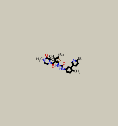 CCc1ccc(-c2cc(NC(=O)Nc3sc(C(C)(C)C)cc3C(=O)N3CCN(C)C(=O)C3(C)C)ccc2C)cn1